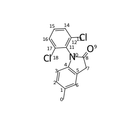 Cc1ccc2c(c1)CC(=O)N2c1c(Cl)cccc1Cl